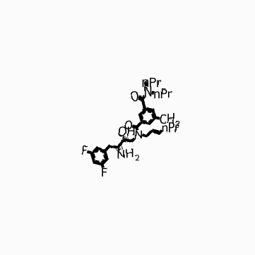 CCCC=CCN(C[C@@H](O)[C@@H](N)Cc1cc(F)cc(F)c1)C(=O)c1cc(C)cc(C(=O)N(CCC)CCC)c1